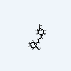 O=C1COCCN1CCCC1CCNCC1